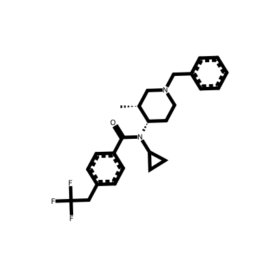 C[C@@H]1CN(Cc2ccccc2)CC[C@@H]1N(C(=O)c1ccc(CC(F)(F)F)cc1)C1CC1